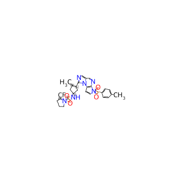 Cc1ccc(S(=O)(=O)n2ccc3c2ncc2cnc([C@H]4C[C@@H](NS(=O)(=O)N5CCC[C@@H]5C(F)(F)F)C[C@H]4C)n23)cc1